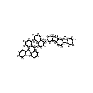 c1ccc(-c2c3ccccc3c(-c3ccc(-c4ccc5oc6c(ccc7c8ccccc8oc76)c5c4)c4ccccc34)c3ccccc23)cc1